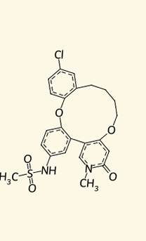 Cn1cc2c(cc1=O)OCCCCc1cc(Cl)ccc1Oc1ccc(NS(C)(=O)=O)cc1-2